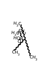 CCCCCC=CCCCC(CCCC=CCCCCCC)C(CCC=CCCCCC)N(CCCN(C)C)C(=O)O